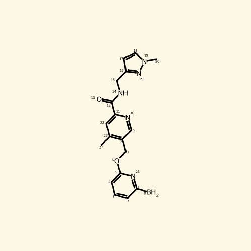 Bc1cccc(OCc2cnc(C(=O)NCc3ccn(C)n3)cc2C)n1